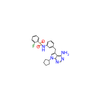 Nc1ncnc2c1c(Cc1cccc(NS(=O)(=O)c3ccccc3F)c1)cn2C1CCCC1